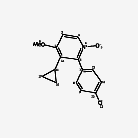 COc1cc[n+]([O-])c(-c2ccc(Cl)cc2)c1C1CC1